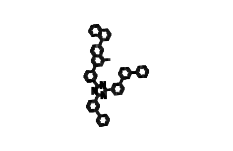 Cc1cc(-c2cccc(-c3nc(-c4cccc(-c5ccccc5)c4)nc(-c4cccc(-c5cccc(-c6ccccc6)c5)c4)n3)c2)cc2ccc(-c3cccc4ccccc34)cc12